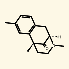 Cc1ccc2c(c1)[C@@]1(C)CCN(C)[C@H](C2)C1=O